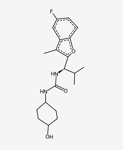 Cc1c([C@H](NC(=O)NC2CCC(O)CC2)C(C)C)oc2ccc(F)cc12